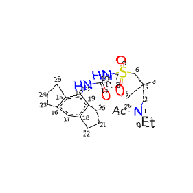 CCN(CC(C)(C)CS(=O)(=O)NC(=O)Nc1c2c(cc3c1CCC3)CCC2)C(C)=O